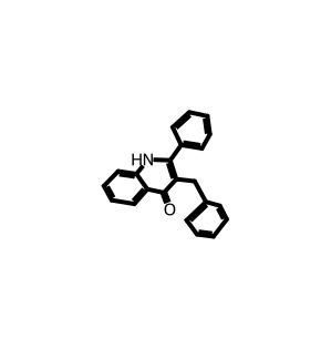 O=c1c(Cc2ccccc2)c(-c2ccccc2)[nH]c2ccccc12